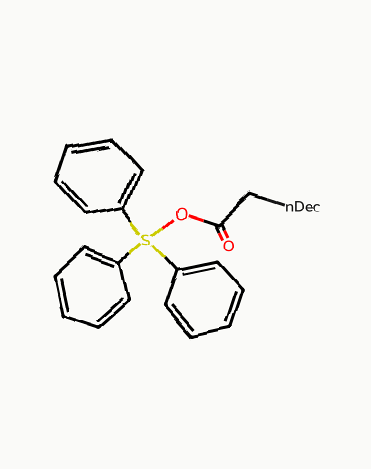 CCCCCCCCCCCC(=O)OS(c1ccccc1)(c1ccccc1)c1ccccc1